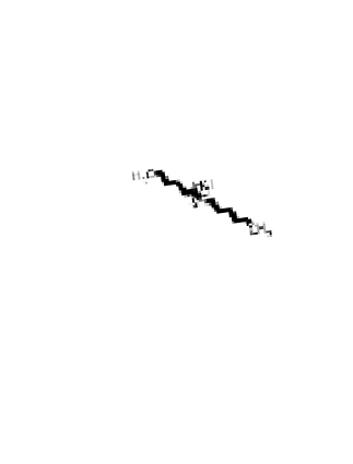 CCCCC[CH2][Sn][CH2]CCCCC.Cl.Cl